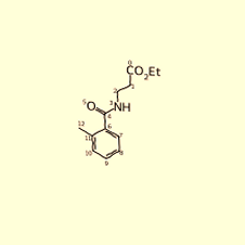 CCOC(=O)CCNC(=O)c1ccccc1C